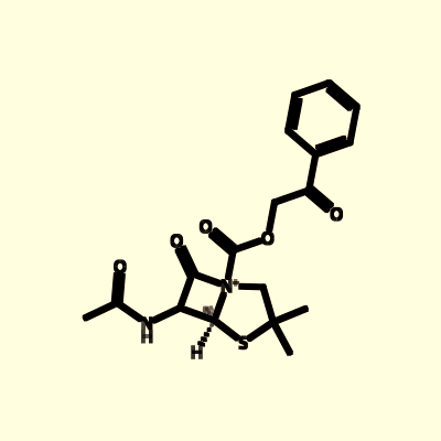 CC(=O)NC1C(=O)[N+]2(C(=O)OCC(=O)c3ccccc3)CC(C)(C)S[C@@H]12